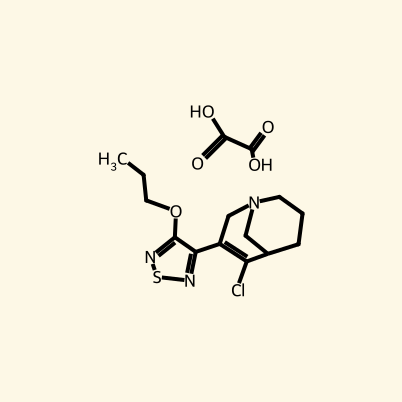 CCCOc1nsnc1C1=C(Cl)C2CCCN(C1)C2.O=C(O)C(=O)O